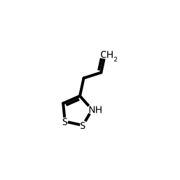 C=CCC1=CSSN1